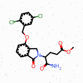 COC(=O)CCC(C(N)=O)N1Cc2c(OCc3cc(Cl)ccc3Cl)cccc2C1=O